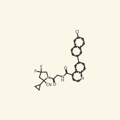 N#CC1(C2CC2)CC(F)(F)CN1C(=O)CNC(=O)c1ccnc2ccc(-c3ccc4cc(Cl)ccc4c3)cc12